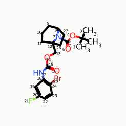 CC(C)(C)OC(=O)N1C2CCCC1(COC(=O)Nc1cc(F)ccc1Br)CC2